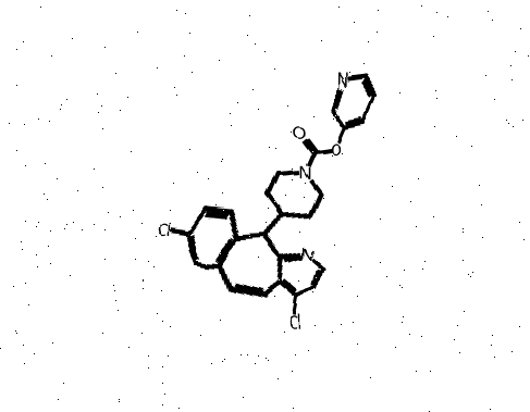 O=C(Oc1cccnc1)N1CCC(C2c3ccc(Cl)cc3C=Cc3c(Cl)ccnc32)CC1